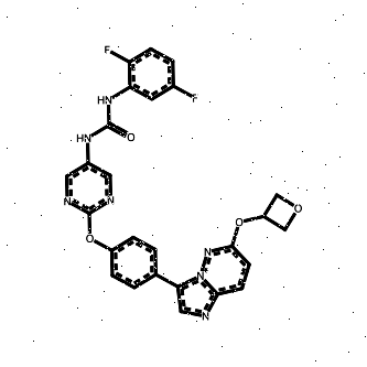 O=C(Nc1cnc(Oc2ccc(-c3cnc4ccc(OC5COC5)nn34)cc2)nc1)Nc1cc(F)ccc1F